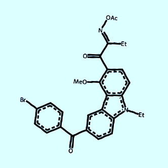 CC/C(=N\OC(C)=O)C(=O)c1ccc2c(c1OC)c1cc(C(=O)c3ccc(Br)cc3)ccc1n2CC